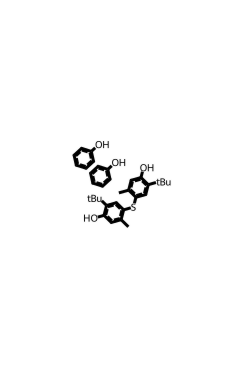 Cc1cc(O)c(C(C)(C)C)cc1Sc1cc(C(C)(C)C)c(O)cc1C.Oc1ccccc1.Oc1ccccc1